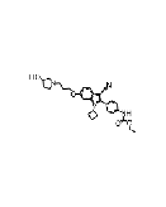 CCOC(=O)Nc1ccc(-c2c(C#N)c3ccc(OCCCN4CCC(O)C4)cc3n2C2CCC2)cc1